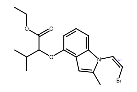 CCOC(=O)C(Oc1cccc2c1cc(C)n2/C=C\Br)C(C)C